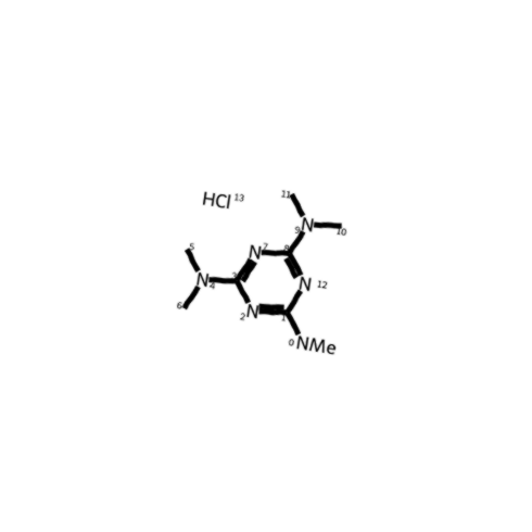 CNc1nc(N(C)C)nc(N(C)C)n1.Cl